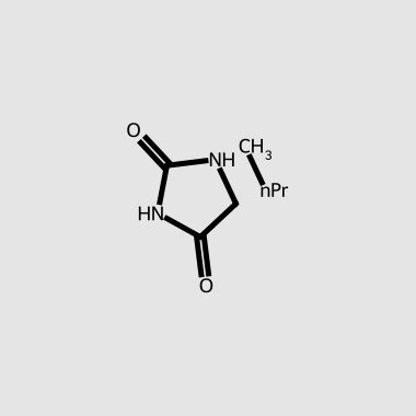 CCCC.O=C1CNC(=O)N1